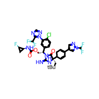 CC(C)(C)C[C@]1(C2C=CC(c3cnn(C(F)F)c3)=CC2)NC(=N)N([C@H](COC(=O)N[C@H]2C[C@H]2F)c2ccc(Cl)c(-n3ncnc3C(F)F)c2)C1=O